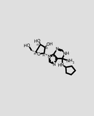 NC1(NC2CCCC2)NC=Nc2c1ncn2[C@@H]1O[C@H](CO)[C@@H](O)[C@H]1O